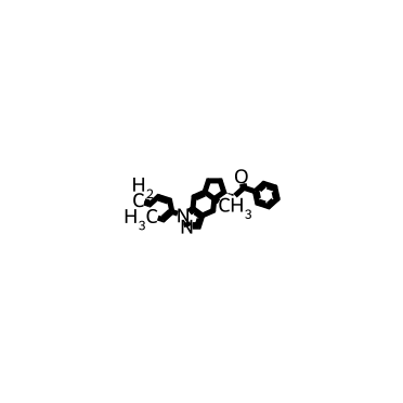 C=C/C=C\C(=C/C)n1ncc2c1C=C1CC[C@H](CC(=O)c3ccccc3)C1(C)C2